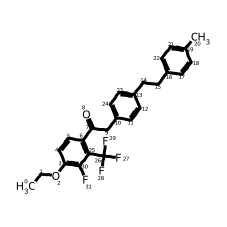 CCOc1ccc(C(=O)Cc2ccc(CCc3ccc(C)cc3)cc2)c(C(F)(F)F)c1F